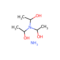 CC(O)N(C(C)O)C(C)O.N